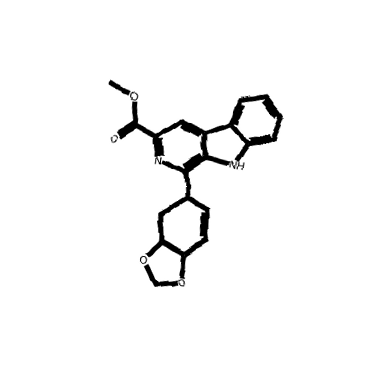 COC(=O)c1cc2c([nH]c3ccccc32)c(C2C=CC3OCOC3C2)n1